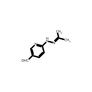 CC(C)=NNc1ccc(C=O)cn1